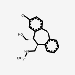 CCOC(=O)NC[C@@H]1c2ccccc2Oc2ccc(Cl)cc2[C@H]1CO